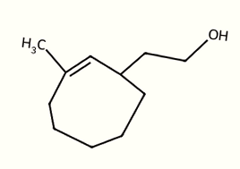 CC1=CC(CCO)CCCCC1